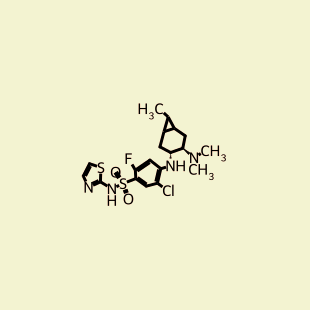 CC1C2C[C@@H](N(C)C)[C@H](Nc3cc(F)c(S(=O)(=O)Nc4nccs4)cc3Cl)CC12